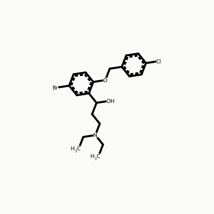 CCN(CC)CCC(O)c1cc(Br)ccc1OCc1ccc(Cl)cc1